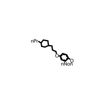 CCCCCCCCCOc1ccc(OCCCC2CCC(CCC)CC2)cc1